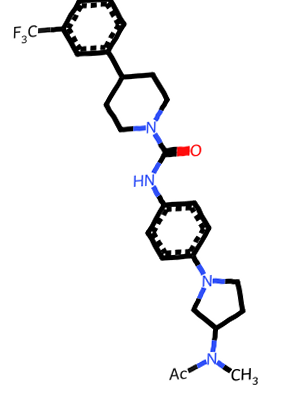 CC(=O)N(C)C1CCN(c2ccc(NC(=O)N3CCC(c4cccc(C(F)(F)F)c4)CC3)cc2)C1